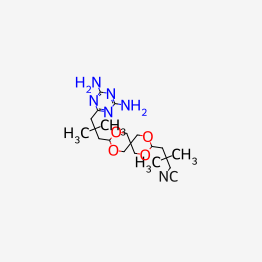 CC(C)(CC#N)CC1OCC2(CO1)COC(CC(C)(C)Cc1nc(N)nc(N)n1)OC2